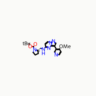 COc1ccncc1-c1cnn2ccc(NC[C@@H]3CCCN3C(=O)OC(C)(C)C)nc12